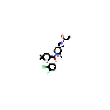 C=CC(=O)N1CC2(CCN(C(=O)[C@@H]3CCC(C)(C)C[C@H]3c3cccc(F)c3Cl)[C@@H](C)C2)C1